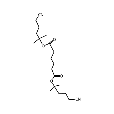 CC(C)(CCCC#N)OC(=O)CCCCC(=O)OC(C)(C)CCCC#N